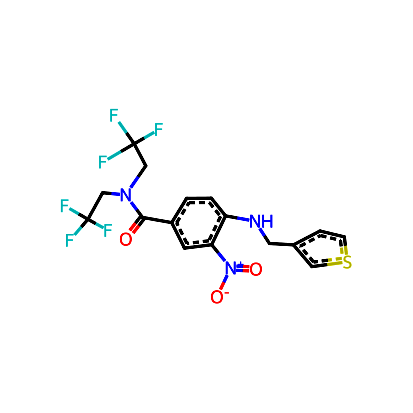 O=C(c1ccc(NCc2ccsc2)c([N+](=O)[O-])c1)N(CC(F)(F)F)CC(F)(F)F